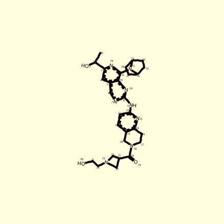 CC(O)c1cc2cnc(Nc3ccc4c(n3)CCN(C(=O)C3CN(CCO)C3)C4)nc2c(N2C3CCC2CC3)n1